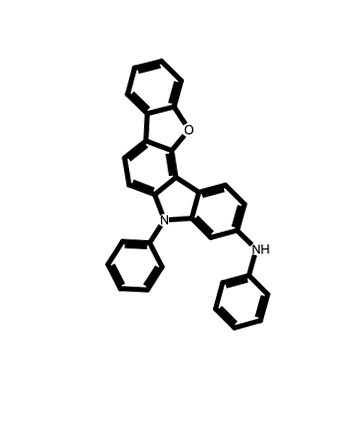 c1ccc(Nc2ccc3c4c5oc6ccccc6c5ccc4n(-c4ccccc4)c3c2)cc1